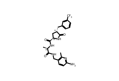 Cc1nc(N)ccc1CNC(=O)[C@@H](C)NC(=O)[C@H]1C[C@H](Cc2cccc(C(F)(F)F)c2)C(=O)N1